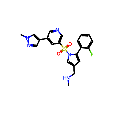 CNCc1cc(-c2ccccc2F)n(S(=O)(=O)c2cncc(-c3cnn(C)c3)c2)c1